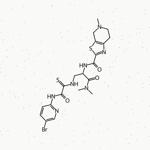 CN1CCc2nc(C(=O)NC(CNC(=S)C(=O)Nc3ccc(Br)cn3)C(=O)N(C)C)sc2C1